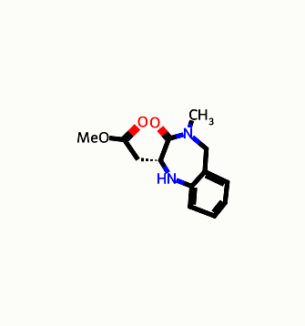 COC(=O)C[C@H]1Nc2ccccc2CN(C)C1=O